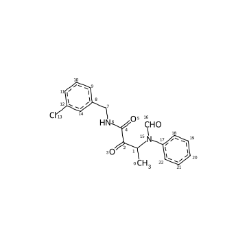 CC(C(=O)C(=O)NCc1cccc(Cl)c1)N(C=O)c1ccccc1